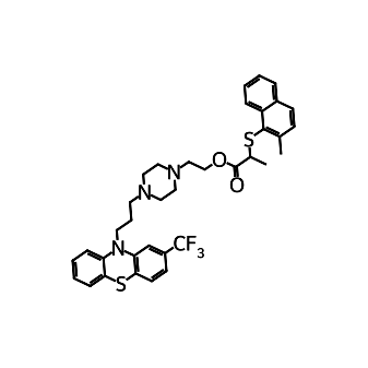 Cc1ccc2ccccc2c1SC(C)C(=O)OCCN1CCN(CCCN2c3ccccc3Sc3ccc(C(F)(F)F)cc32)CC1